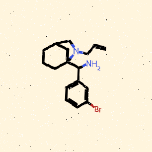 C=CCN1CC2CCCC1(C(N)c1cccc(Br)c1)C2